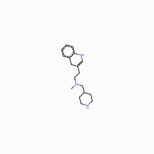 CN(CCC1=CNc2ccccc2C1)CC1CCNCC1